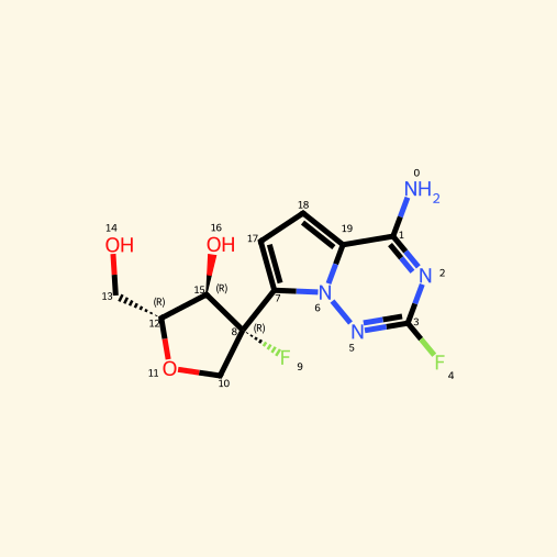 Nc1nc(F)nn2c([C@@]3(F)CO[C@H](CO)[C@H]3O)ccc12